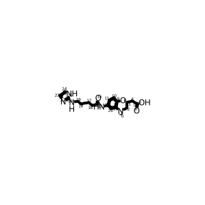 CN1CC(CC(=O)O)Oc2ccc(NC(=O)CCCCNc3ncc[nH]3)cc21